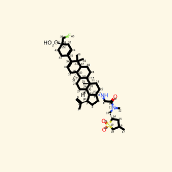 C=C(C)[C@@H]1CC[C@]2(NCC(=O)N(C)C[C@@H]3CC(C)CS3(=O)=O)CC[C@]3(C)[C@H](CCC4[C@@]5(C)CC=C(C6=CC[C@](CF)(C(=O)O)CC6)C(C)(C)C5CC[C@]43C)C12